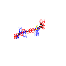 CS(=O)(=O)c1nnc(-c2ccc(NC(=O)CCC(=O)NCCCOCCOCCOCCCNC(=S)Nc3ccc(-c4c5ccc(=O)cc-5oc5cc(O)ccc45)cc3)cc2)o1